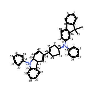 CC1(C)c2ccccc2-c2ccc(N(c3ccccc3)C3CC=C(C4=CC5c6ccccc6N(c6ccccc6)C5C=C4)CC3)cc21